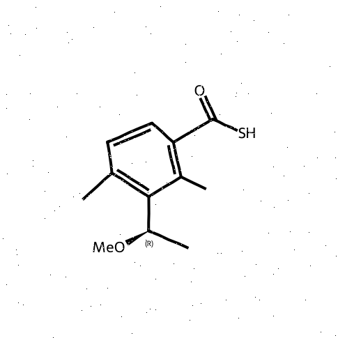 CO[C@H](C)c1c(C)ccc(C(=O)S)c1C